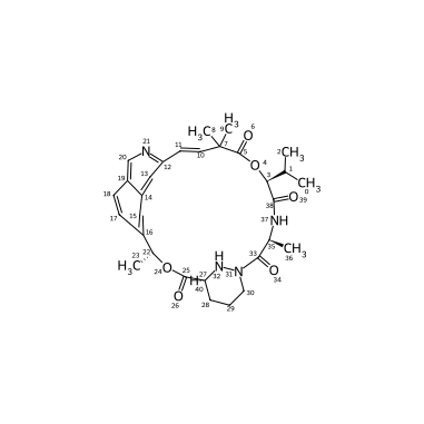 CC(C)[C@@H]1OC(=O)C(C)(C)/C=C/c2cc3cc(ccc3cn2)[C@@H](C)OC(=O)[C@@H]2CCCN(N2)C(=O)[C@H](C)NC1=O